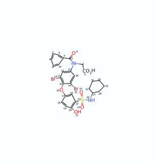 O=C(O)CN(C(=O)c1ccccc1)c1cc(Br)c(Oc2ccc(O)c(S(=O)(=O)NC3CCCCC3)c2)c(Br)c1